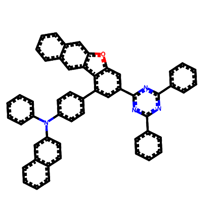 c1ccc(-c2nc(-c3ccccc3)nc(-c3cc(-c4ccc(N(c5ccccc5)c5ccc6ccccc6c5)cc4)c4c(c3)oc3cc5ccccc5cc34)n2)cc1